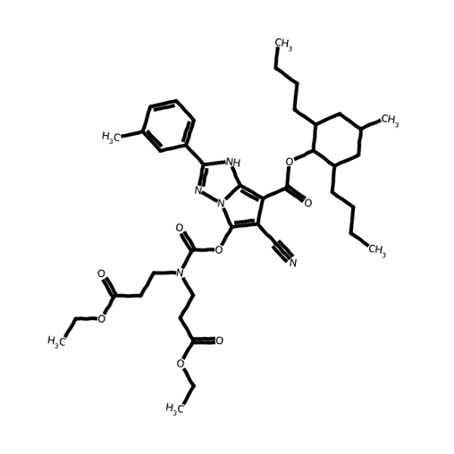 CCCCC1CC(C)CC(CCCC)C1OC(=O)c1c(C#N)c(OC(=O)N(CCC(=O)OCC)CCC(=O)OCC)n2nc(-c3cccc(C)c3)[nH]c12